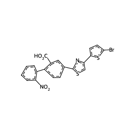 O=C(O)c1cc(-c2nc(-c3ccc(Br)s3)cs2)ccc1-c1ccccc1[N+](=O)[O-]